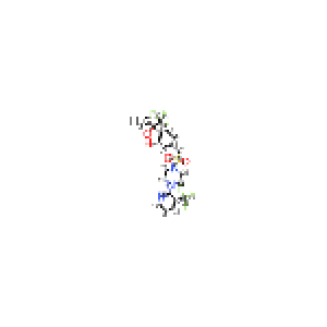 CC(O)(c1ccc(CS(=O)(=O)N2CCN(c3ncccc3C(F)(F)F)CC2)cc1)C(F)(F)F